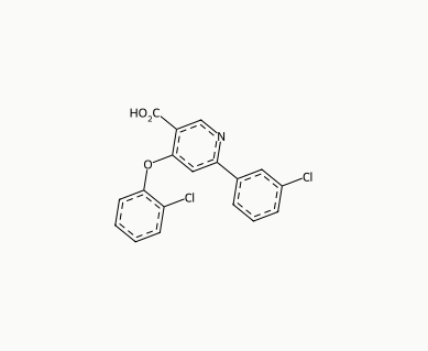 O=C(O)c1cnc(-c2cccc(Cl)c2)cc1Oc1ccccc1Cl